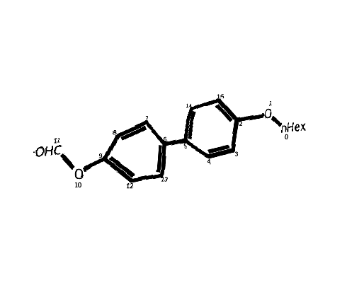 CCCCCCOc1ccc(-c2ccc(O[C]=O)cc2)cc1